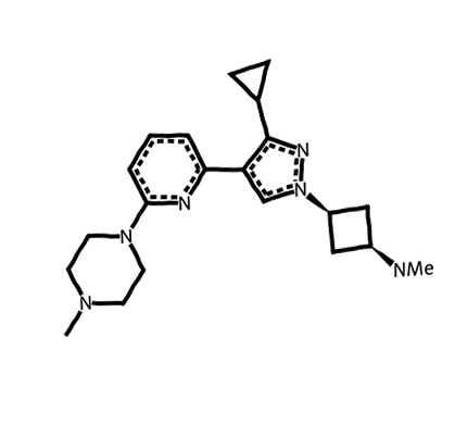 CN[C@H]1C[C@@H](n2cc(-c3cccc(N4CCN(C)CC4)n3)c(C3CC3)n2)C1